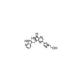 OCCn1cc(-c2cnc3c(n2)N(Cc2c[nH]c4ncccc24)NN3)cn1